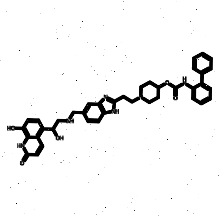 O=C(Nc1ccccc1-c1ccccc1)OC1CCN(CCc2nc3cc(CNCC(O)c4ccc(O)c5[nH]c(=O)ccc45)ccc3[nH]2)CC1